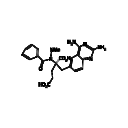 CNN(C(=O)c1ccccc1)[C@](CCC(=O)O)(Cc1ccc2nc(N)nc(N)c2c1)C(=O)O